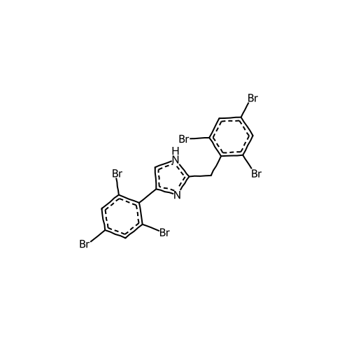 Brc1cc(Br)c(Cc2nc(-c3c(Br)cc(Br)cc3Br)c[nH]2)c(Br)c1